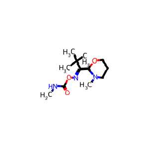 CNC(=O)ON=C(C1OCCCN1C)C(C)(C)C